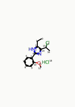 CCc1[nH]c(-c2ccccc2OC)nc1C(C)Cl.Cl